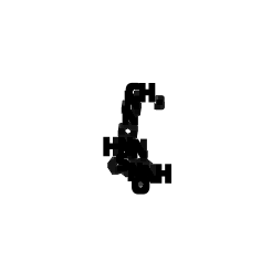 CN1CCN(c2ccc(Nc3cc4c(cn3)CNC(=O)N4Cc3cccs3)cc2)CC1